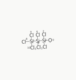 [O][Si](Cl)(Cl)[Si](Cl)(Cl)[Si](Cl)(Cl)Cl